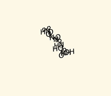 O=C(Nc1ccccc1-c1ccccc1)OC1CCN(CCN2CCc3cc(CNCC(O)c4ccc(O)c5[nH]c(=O)ccc45)ccc3C2=O)CC1